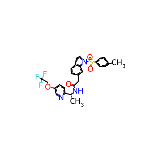 Cc1ccc(S(=O)(=O)n2ccc3ccc(CC(=O)N[C@H](C)c4ccc(OCC(F)(F)F)cn4)cc32)cc1